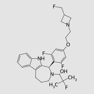 CC(C)(F)C(O)N1CCCc2c([nH]c3ccccc23)[C@H]1c1c(F)cc(OCCN2CC(CF)C2)cc1F